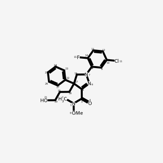 CON(C)C(=O)C1=NN(c2cc(Cl)ccc2F)CC1(CCCO)c1ccccc1